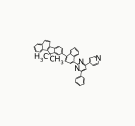 CC1(C)c2cc(-c3ccc(-c4nc(-c5ccccc5)cc(-c5ccncc5)n4)c4ccccc34)ccc2-c2ccc3ccccc3c21